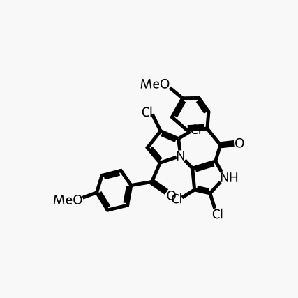 COc1ccc(C(=O)c2[nH]c(Cl)c(Cl)c2-n2c(C(=O)c3ccc(OC)cc3)cc(Cl)c2Cl)cc1